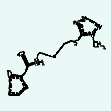 Cn1nnnc1SCCCNC(=O)c1ccco1